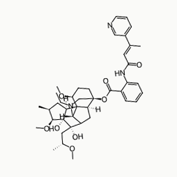 CCN1C[C@]2(OC(=O)c3ccccc3NC(=O)/C=C(\C)c3cccnc3)CC[C@H](OC)C34[C@@H]1C(C[C@@H]32)[C@@](O)(C[C@@H](C)OC)[C@@]1(O)[C@@H](OC)[C@@H](C)C[C@@H]41